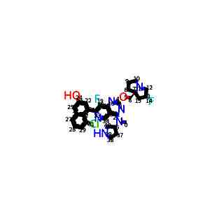 CN(c1nc(OC[C@@]23CCCN2C[C@H](F)C3)nc2c(F)c(-c3cc(O)cc4cccc(Cl)c34)ncc12)[C@@H]1CCNC1